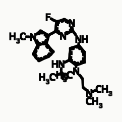 CC(=O)Nc1cc(Nc2ncc(F)c(-c3cn(C)c4ccccc34)n2)ccc1N(C)CCN(C)C